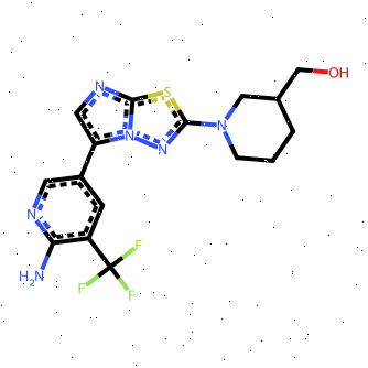 Nc1ncc(-c2cnc3sc(N4CCCC(CO)C4)nn23)cc1C(F)(F)F